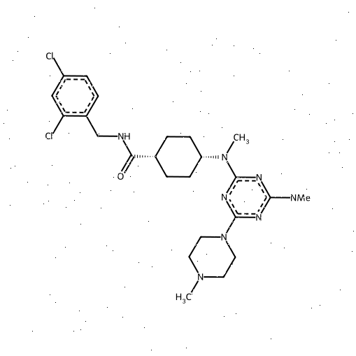 CNc1nc(N2CCN(C)CC2)nc(N(C)[C@H]2CC[C@@H](C(=O)NCc3ccc(Cl)cc3Cl)CC2)n1